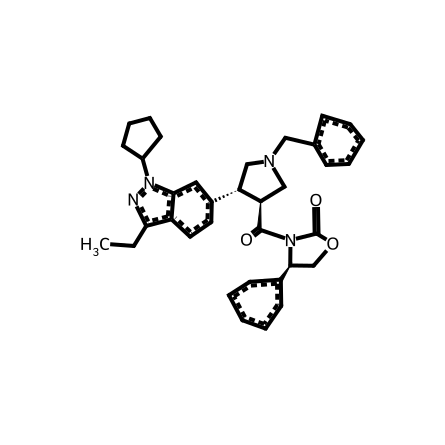 CCc1nn(C2CCCC2)c2cc([C@@H]3CN(Cc4ccccc4)C[C@H]3C(=O)N3C(=O)OC[C@H]3c3ccccc3)ccc12